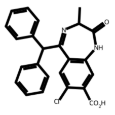 CC1N=C(C(c2ccccc2)c2ccccc2)c2cc(Cl)c(C(=O)O)cc2NC1=O